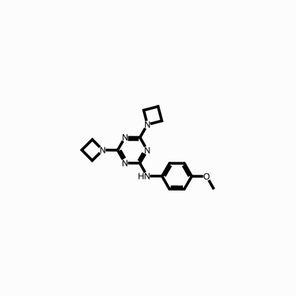 COc1ccc(Nc2nc(N3CCC3)nc(N3CCC3)n2)cc1